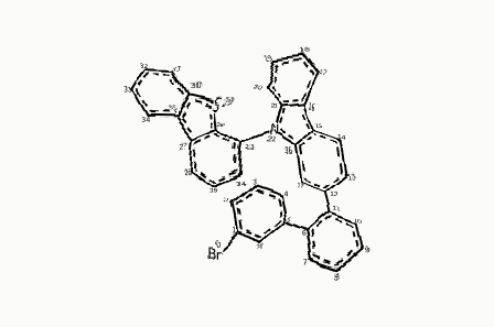 Brc1cccc(-c2ccccc2-c2ccc3c4ccccc4n(-c4cccc5c4sc4ccccc45)c3c2)c1